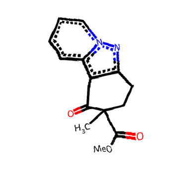 COC(=O)C1(C)CCc2nn3ccccc3c2C1=O